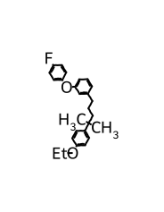 CCOc1ccc(C(C)(C)CCCc2cccc(Oc3ccc(F)cc3)c2)cc1